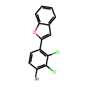 CC(C)c1[c]cc(-c2cc3ccccc3o2)c(Cl)c1Cl